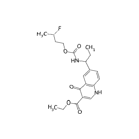 CCOC(=O)c1c[nH]c2ccc(C(CC)NC(=O)OCCC(C)F)cc2c1=O